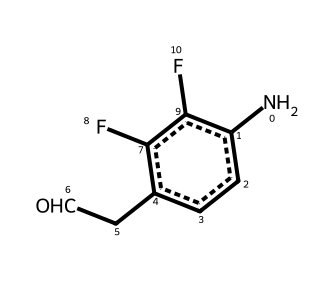 Nc1ccc(CC=O)c(F)c1F